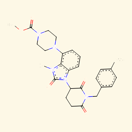 CCn1c(=O)n(C2CCC(=O)N(Cc3ccc(OC)cc3)C2=O)c2cccc(N3CCN(C(=O)OC(C)(C)C)CC3)c21